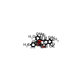 COc1c(C)cc2c(c1O)[C@H]1C3[C@@H]4SC[C@]5(NCCc6c5[nH]c5ccc(C)cc65)C(=O)COC[C@@H](c5c6c(c(C)c(OC(C)=O)c54)OCO6)N3[C@@H](O)[C@@H](C2)N1C